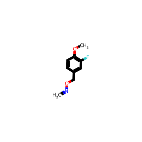 C=NOCc1ccc(OC)c(F)c1